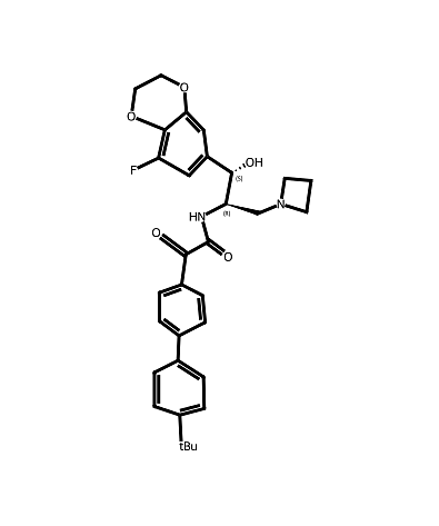 CC(C)(C)c1ccc(-c2ccc(C(=O)C(=O)N[C@H](CN3CCC3)[C@@H](O)c3cc(F)c4c(c3)OCCO4)cc2)cc1